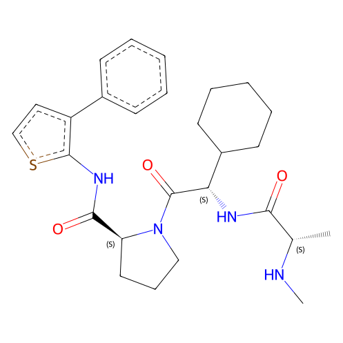 CN[C@@H](C)C(=O)N[C@H](C(=O)N1CCC[C@H]1C(=O)Nc1sccc1-c1ccccc1)C1CCCCC1